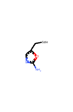 CSCc1cnc(N)o1